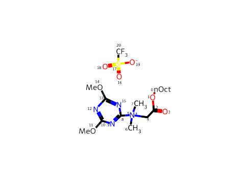 CCCCCCCCOC(=O)C[N+](C)(C)c1nc(OC)nc(OC)n1.O=S(=O)([O-])C(F)(F)F